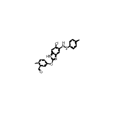 Cc1ccc(SNc2cc3nc(Oc4ccc(C)c(C=O)c4)[nH]c3cc2Cl)cc1